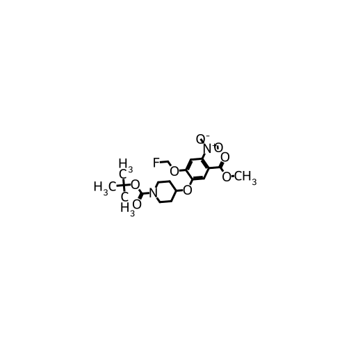 COC(=O)c1cc(OC2CCN(C(=O)OC(C)(C)C)CC2)c(OCF)cc1[N+](=O)[O-]